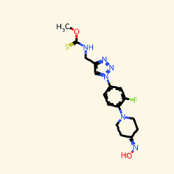 COC(=S)NCc1cn(-c2ccc(N3CCC(=NO)CC3)c(F)c2)nn1